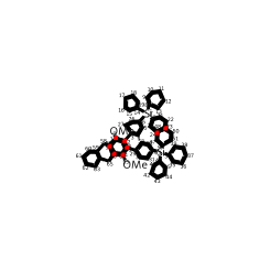 COc1c(-c2ccc([Si](c3ccccc3)(c3ccccc3)c3ccccc3)cc2)c(-c2ccc([Si](c3ccccc3)(c3ccccc3)c3ccccc3)cc2)c(OC)c2c1C1c3ccccc3C2c2ccccc21